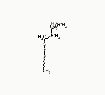 CCCCCCCCCCCCCCCSCCC(C)CCCC(C)CCCC(C)CCCC(C)C